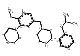 COc1ncc(CN2CCN[C@@H](c3ccccc3OC(C)C)C2)cc1N1CCOCC1